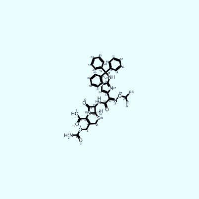 NC(=O)OCC1=C(C(=O)O)N2C(=O)C(NC(=O)/C(=N/OC(F)F)c3csc(NC(c4ccccc4)(c4ccccc4)c4ccccc4)n3)[C@H]2SC1